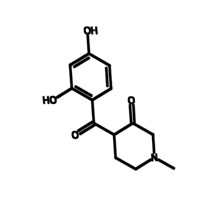 CN1CCC(C(=O)c2ccc(O)cc2O)C(=O)C1